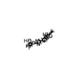 O=C(Nc1cc2cc(-c3cnc(CO[C@H]4CC(F)(F)C[C@@H]4O)nc3)ccn2n1)C1CC1